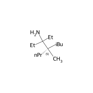 CCC[C@@](C)(C(C)CC)C(N)(CC)CC